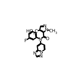 Cn1ncc(C(=O)O)c1C(=O)N(c1cccc(F)c1)c1ccn2ncnc2c1